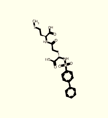 CSCC[C@H](NC(=O)CC[C@H](NS(=O)(=O)c1ccc(-c2ccccc2)cc1)C(=O)O)C(=O)O